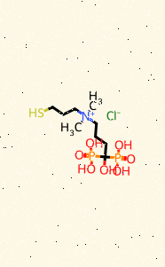 C[N+](C)(CCCS)CCCC(O)(P(=O)(O)O)P(=O)(O)O.[Cl-]